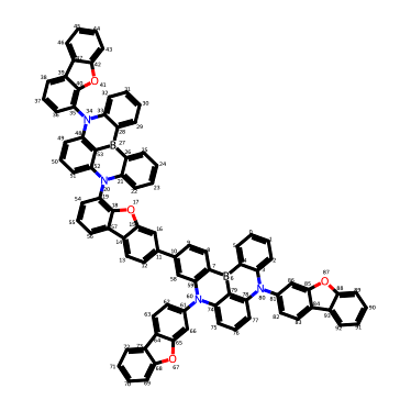 c1ccc2c(c1)B1c3ccc(-c4ccc5c(c4)oc4c(N6c7ccccc7B7c8ccccc8N(c8cccc9c8oc8ccccc89)c8cccc6c87)cccc45)cc3N(c3ccc4c(c3)oc3ccccc34)c3cccc(c31)N2c1ccc2c(c1)oc1ccccc12